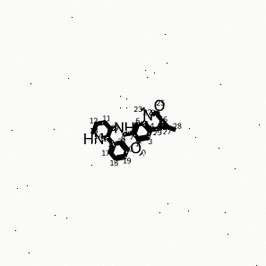 COc1cc2c(cc1CNC1CCCNC1c1ccccc1)N(C)C(=O)C1C(C)C21